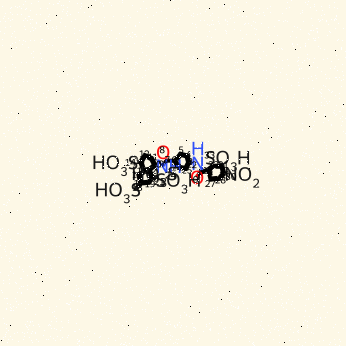 O=C(Nc1ccc(C(=O)Nc2ccc(S(=O)(=O)O)c3cc(S(=O)(=O)O)cc(S(=O)(=O)O)c23)c(S(=O)(=O)O)c1)c1ccc([N+](=O)[O-])cc1S(=O)(=O)O